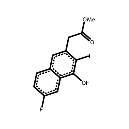 COC(=O)Cc1cc2ccc(F)cc2c(O)c1I